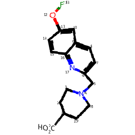 O=C(O)C1CCN(Cc2ccc3cc(OF)ccc3n2)CC1